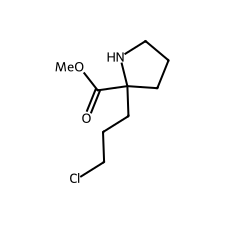 COC(=O)C1(CCCCl)CCCN1